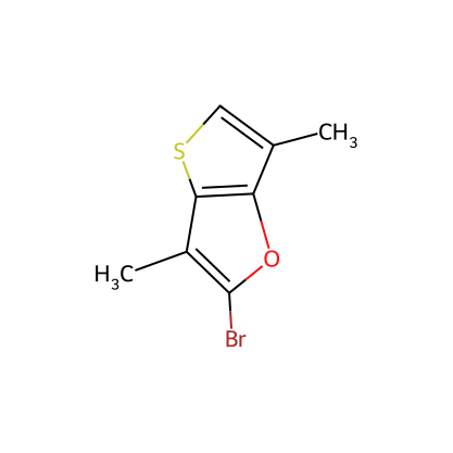 Cc1csc2c(C)c(Br)oc12